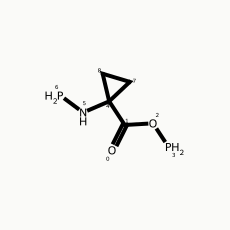 O=C(OP)C1(NP)CC1